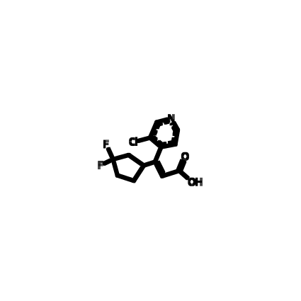 O=C(O)/C=C(\c1ccncc1Cl)C1CCC(F)(F)C1